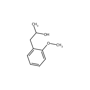 COc1c[c]ccc1CC(C)O